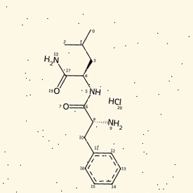 CC(C)C[C@@H](NC(=O)[C@H](N)Cc1ccccc1)C(N)=O.Cl